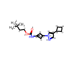 C[Si](C)(C)CCOC(=O)NC12CC(n3cc(C4CCC4)cn3)(C1)C2